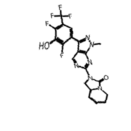 Cn1nc(-c2cc(C(F)(F)F)c(F)c(O)c2F)c2cnc(N3CC4CCCCN4C3=O)nc21